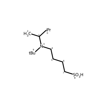 CC(C)C(C)N(CCCCS(=O)(=O)O)C(C)(C)C